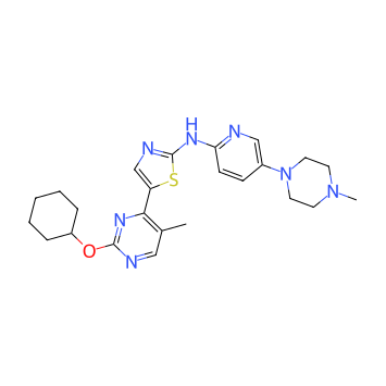 Cc1cnc(OC2CCCCC2)nc1-c1cnc(Nc2ccc(N3CCN(C)CC3)cn2)s1